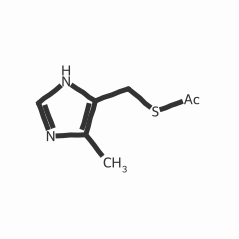 CC(=O)SCc1[nH]cnc1C